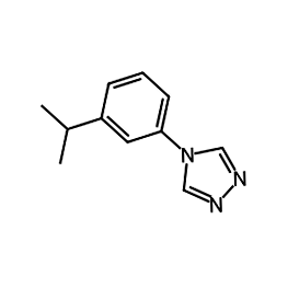 CC(C)c1cccc(-n2cnnc2)c1